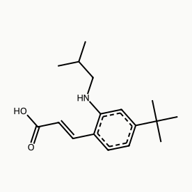 CC(C)CNc1cc(C(C)(C)C)ccc1/C=C/C(=O)O